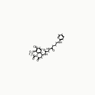 O=C(CCCNc1ccccn1)NCC(=O)NC(CC(=O)OC(=O)C(F)(F)F)c1ccc(Cl)c([N+](=O)[O-])c1